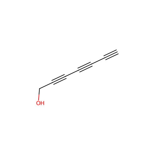 C#CC#CC#CCO